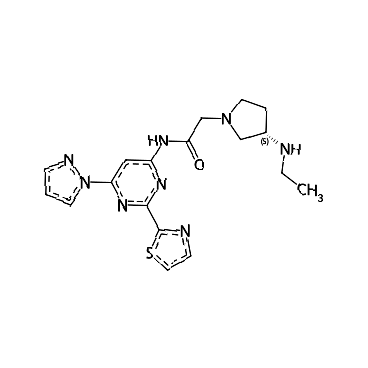 CCN[C@H]1CCN(CC(=O)Nc2cc(-n3cccn3)nc(-c3nccs3)n2)C1